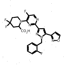 O=C(O)C1CC(F)(F)CCN1c1nc(-c2cc(-c3ccon3)n(Cc3ccccc3F)n2)ncc1F